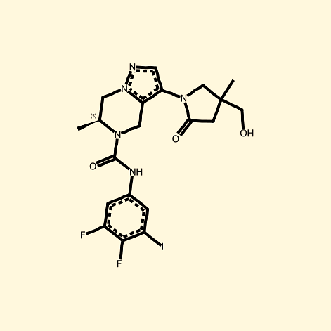 C[C@H]1Cn2ncc(N3CC(C)(CO)CC3=O)c2CN1C(=O)Nc1cc(F)c(F)c(I)c1